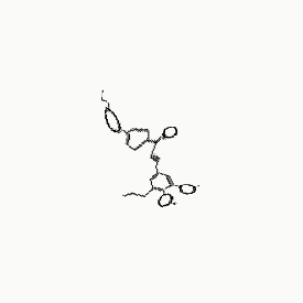 CCCOc1ccc(C(=O)/C=C/c2cc(CCC)c(OC)c(OC)c2)cc1